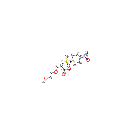 COCCOCC(=CS(=O)(=O)c1ccc([N+](=O)[O-])cc1)C(=O)O